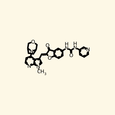 Cn1cc(C=C2Oc3ccc(NC(=O)Nc4cccnc4)cc3C2=O)c2c(N3C4CCC3COC4)ccnc21